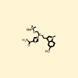 Cn1cc(CC[C@H](CO[Si](C)(C)C(C)(C)C)n2cnc(C(N)=O)c2)c2cc(O)ccc21